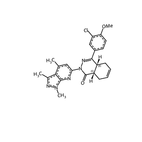 COc1ccc(C2=NN(c3cc(C)c4c(C)nn(C)c4n3)C(=O)[C@H]3CC=CC[C@@H]23)cc1Cl